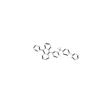 CC1(C)c2cc(-c3c4ccccc4c(-c4ccccc4)c4ccccc34)ccc2Oc2c1ccc1c2oc2ccccc21